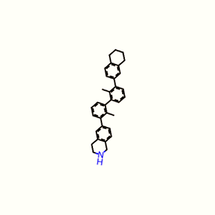 Cc1c(-c2ccc3c(c2)CCCC3)cccc1-c1cccc(-c2ccc3c(c2)CCNC3)c1C